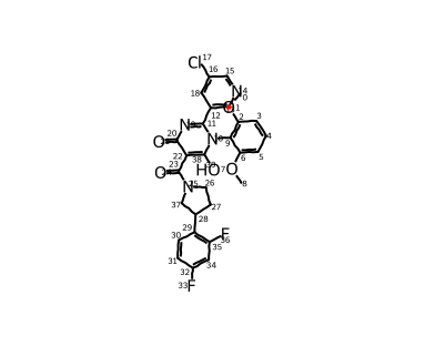 COc1cccc(OC)c1-n1c(-c2cncc(Cl)c2)nc(=O)c(C(=O)N2CCC(c3ccc(F)cc3F)C2)c1O